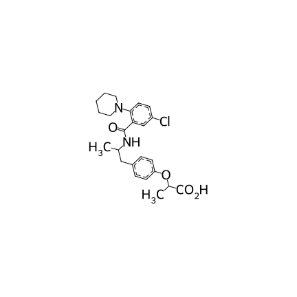 CC(Cc1ccc(OC(C)C(=O)O)cc1)NC(=O)c1cc(Cl)ccc1N1CCCCC1